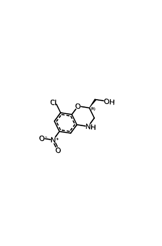 O=[N+]([O-])c1cc(Cl)c2c(c1)NC[C@H](CO)O2